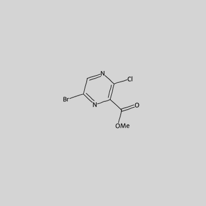 COC(=O)c1nc(Br)cnc1Cl